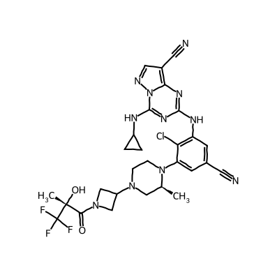 C[C@H]1CN(C2CN(C(=O)[C@@](C)(O)C(F)(F)F)C2)CCN1c1cc(C#N)cc(Nc2nc(NC3CC3)n3ncc(C#N)c3n2)c1Cl